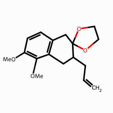 C=CCC1Cc2c(ccc(OC)c2OC)CC12OCCO2